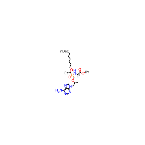 CCCCCCCCCCCCCCCCOC(CC)P(=O)(COC(C)Cn1cnc2c(N)ncnc21)N[C@@H](C)C(=O)OC(C)C